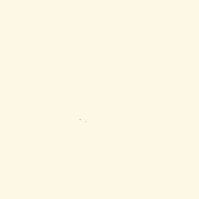 CCC(CC)=C(CC)C(C)=O